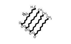 C=CCCCCCCCCC(=O)[O-].C=CCCCCCCCCC(=O)[O-].C=CCCCCCCCCC(=O)[O-].C=CCCCCCCCCC(=O)[O-].[Zn+2].[Zn+2]